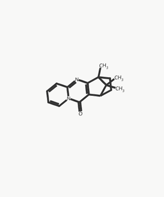 CC12CCC(c3c1nc1ccccn1c3=O)C2(C)C